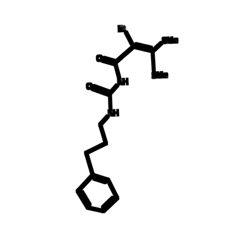 CCC(C(=O)NC(=O)NCCCc1ccccc1)=C(SC)SC